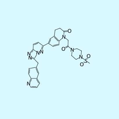 CS(=O)(=O)N1CCN(C(=O)CN2C(=O)CCc3cc(-c4ccc5nnc(Cc6ccc7ncccc7c6)n5n4)ccc32)CC1